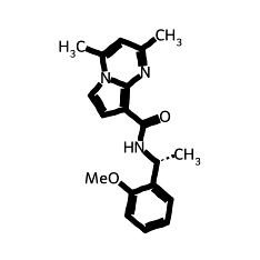 COc1ccccc1[C@@H](C)NC(=O)c1ccn2c(C)cc(C)nc12